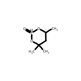 CC1CC(C)(C)O[PH](=O)O1